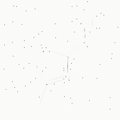 Cc1n/c(=N/O)[nH]o1